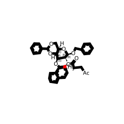 CC(=O)CCC(=O)O[C@H]1[C@H](OCc2ccccc2)O[C@@H]2COC(c3ccccc3)O[C@H]2[C@@H]1Oc1c(C)ccc2ccccc12